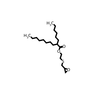 CCCCCCCCC(CCCCCC)C(=O)OCCSCC1CO1